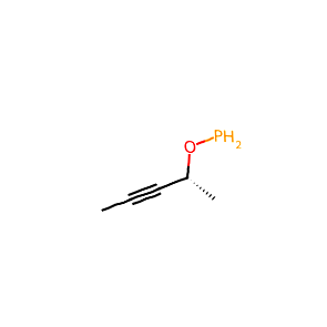 CC#C[C@@H](C)OP